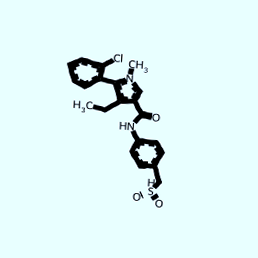 CCc1c(C(=O)Nc2ccc(C[SH](=O)=O)cc2)cn(C)c1-c1ccccc1Cl